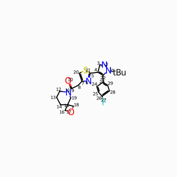 CC(C)(C)n1ncc(-c2nc(CC(=O)N3CCCC4(COC4)C3)cs2)c1-c1ccc(F)cc1